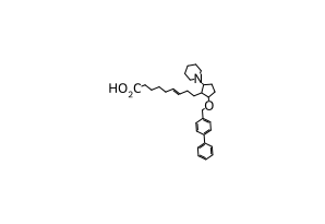 O=C(O)CCCCC=CCCC1C(OCc2ccc(-c3ccccc3)cc2)CCC1N1CCCCC1